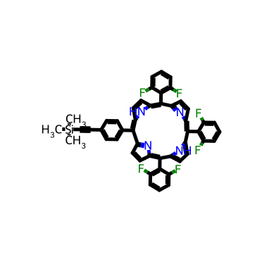 C[Si](C)(C)C#Cc1ccc(-c2c3nc(c(-c4c(F)cccc4F)c4ccc([nH]4)c(-c4c(F)cccc4F)c4nc(c(-c5c(F)cccc5F)c5ccc2[nH]5)C=C4)C=C3)cc1